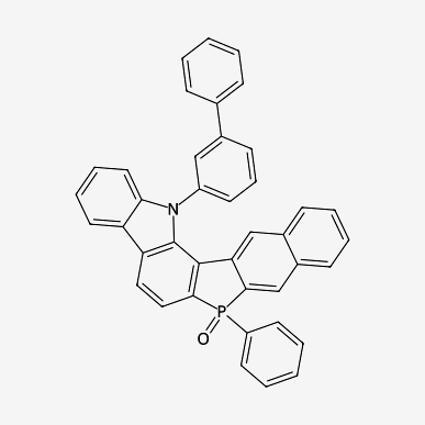 O=P1(c2ccccc2)c2cc3ccccc3cc2-c2c1ccc1c3ccccc3n(-c3cccc(-c4ccccc4)c3)c21